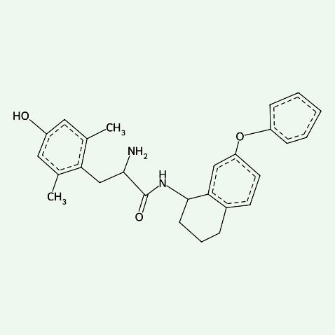 Cc1cc(O)cc(C)c1CC(N)C(=O)NC1CCCc2ccc(Oc3ccccc3)cc21